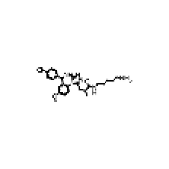 COc1ccc(-n2c(C)nnc2CC(C)C(=O)NCCCCCN)c(C(=N)c2ccc(Cl)cc2)c1